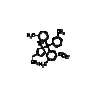 CCC1=C[C]([Ti+3])([Si](c2cccc(C)c2)(c2cccc(C)c2)c2cccc(C)c2)C=C1.[Cl-].[Cl-].[Cl-]